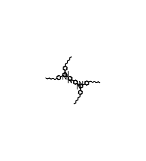 CCCCCCc1ccc(-c2cc(-c3ccc(CCCCCC)cc3)nc(-c3ccc(-c4ccc(-c5nc(-c6ccc(CCCCCC)cc6)cc(-c6ccc(CCCCCC)cc6)n5)cn4)cc3)n2)cc1